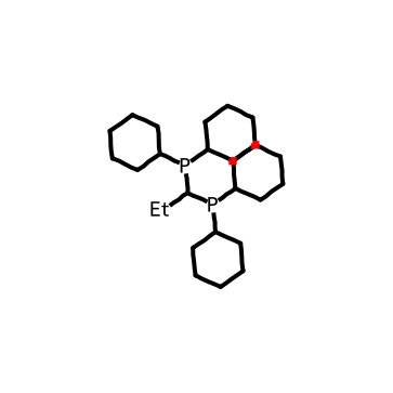 CCC(P(C1CCCCC1)C1CCCCC1)P(C1CCCCC1)C1CCCCC1